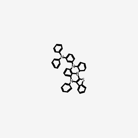 C1=CCC2B3c4sc5ccccc5c4N(c4ccccc4)c4cccc(c43)N(c3cccc(N(c4ccccc4)c4ccccc4)c3)C2=C1